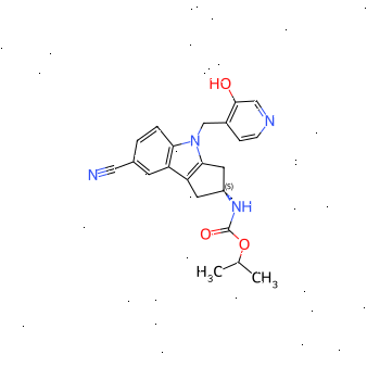 CC(C)OC(=O)N[C@H]1Cc2c(n(Cc3ccncc3O)c3ccc(C#N)cc23)C1